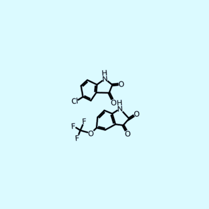 O=C1Nc2ccc(Cl)cc2C1=O.O=C1Nc2ccc(OC(F)(F)F)cc2C1=O